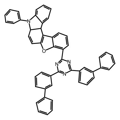 C1=CC2C(c3ccccc3N2c2ccccc2)c2c1oc1c(-c3nc(-c4cccc(-c5ccccc5)c4)nc(-c4cccc(-c5ccccc5)c4)n3)cccc21